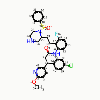 COc1ccc([C@@H](CC(=O)Nc2cccc(F)c2CCC2CNCCN2[S+]([O-])c2ccccc2)c2ccc(Cl)cc2)cn1